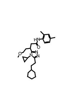 COCCC(CC(=O)Nc1ccc(C)cc1C)c1nnc(CCC2CCCCC2)n1C1CC1